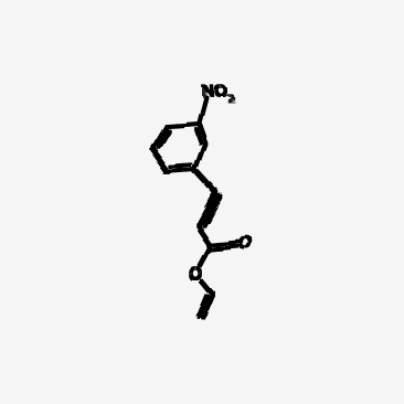 C=COC(=O)/C=C/c1cccc([N+](=O)[O-])c1